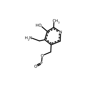 Cc1ncc(COP=O)c(CN)c1O